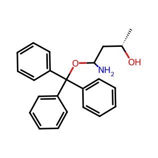 C[C@H](O)CC(N)OC(c1ccccc1)(c1ccccc1)c1ccccc1